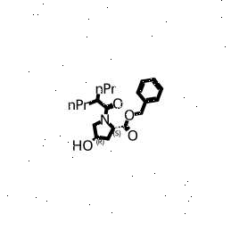 CCCC(CCC)C(=O)N1C[C@H](O)C[C@H]1C(=O)OCc1ccccc1